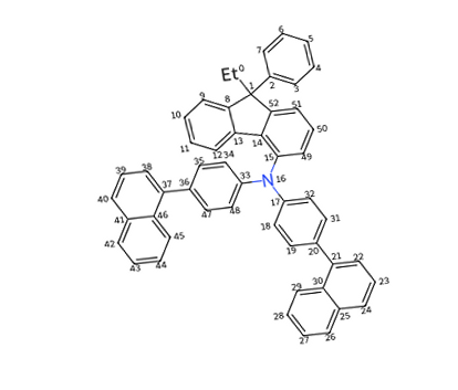 CCC1(c2ccccc2)c2ccccc2-c2c(N(c3ccc(-c4cccc5ccccc45)cc3)c3ccc(-c4cccc5ccccc45)cc3)cccc21